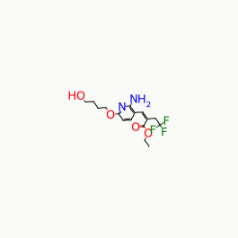 CCOC(=O)C(=Cc1ccc(OCCCCO)nc1N)CC(F)(F)F